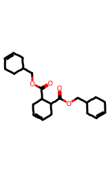 O=C(OCC1CC=CCC1)C1CC=CCC1C(=O)OCC1CC=CCC1